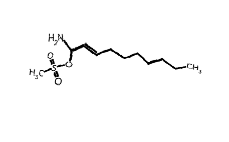 CCCCCCCC=CC(N)OS(C)(=O)=O